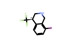 FC(F)(F)[C@H]1CNCc2c(I)cccc21